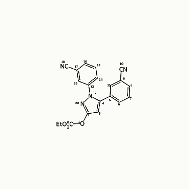 CCOC(=O)Oc1cc(-c2cccc(C#N)c2)n(-c2cccc(C#N)c2)n1